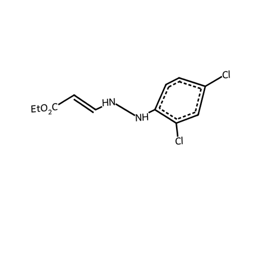 CCOC(=O)C=CNNc1ccc(Cl)cc1Cl